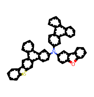 c1ccc2c(c1)oc1ccc(N(c3ccc4c5ccccc5c5ccccc5c4c3)c3ccc4c(c3)c3ccccc3c3cc5c(cc43)sc3ccccc35)cc12